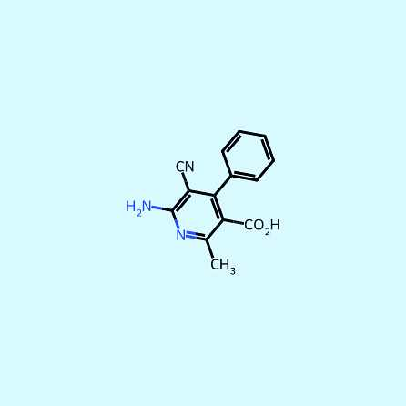 Cc1nc(N)c(C#N)c(-c2ccccc2)c1C(=O)O